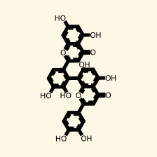 O=c1cc(-c2ccc(O)c(O)c2-c2c(O)cc(O)c3c(=O)cc(-c4ccc(O)c(O)c4)oc23)oc2cc(O)cc(O)c12